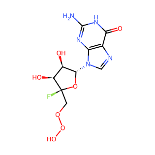 Nc1nc2c(ncn2[C@@H]2O[C@](F)(COOO)[C@@H](O)[C@H]2O)c(=O)[nH]1